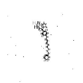 N=C(N)[C@@H]1CCCN1C(=O)c1ccc(CCCCCCCCCC2CCCCC2)cc1